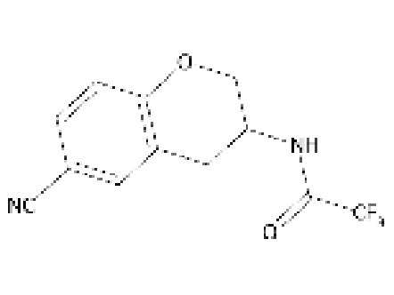 N#Cc1ccc2c(c1)CC(NC(=O)C(F)(F)F)CO2